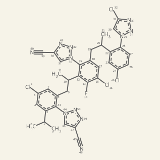 CC(C)c1cc(Cl)cc(CC(C)c2c(F)c(Cl)cc(CC(C)c3cc(Cl)ccc3-n3cc(Cl)nn3)c2-n2cc(C#N)nn2)c1-n1cc(C#N)nn1